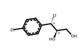 OC[C@@H](O)[C@@H](Cl)c1ccc(Cl)cc1